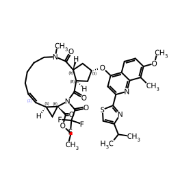 CCOC(=O)[C@@]12C[C@H]1/C=C\CCCCN(C)C(=O)[C@@H]1C[C@H](Oc3cc(-c4nc(C(C)C)cs4)nc4c(C)c(OC)ccc34)C[C@H]1C(=O)N2C(=O)C(F)(F)F